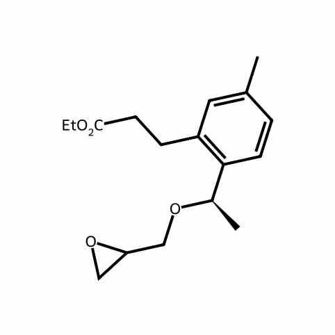 CCOC(=O)CCc1cc(C)ccc1[C@@H](C)OCC1CO1